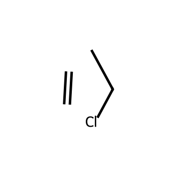 C=C.CCCl